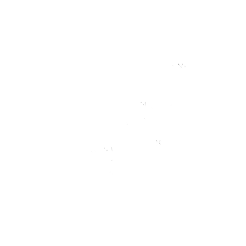 COc1ccc(-c2cc(-c3ccccc3)n(-c3ccc(C(=O)NO)o3)c2C(N)=O)cc1